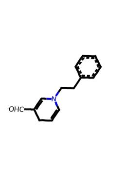 O=[C]C1=CN(CCc2ccccc2)C=CC1